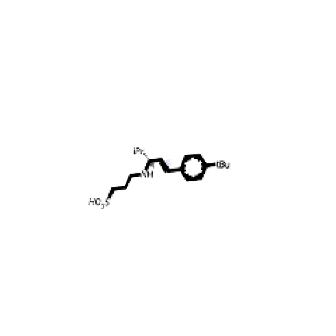 CC(C)[C@H](/C=C/c1ccc(C(C)(C)C)cc1)NCCCS(=O)(=O)O